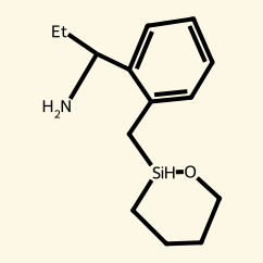 CCC(N)c1ccccc1C[SiH]1CCCCO1